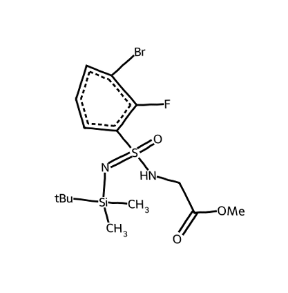 COC(=O)CNS(=O)(=N[Si](C)(C)C(C)(C)C)c1cccc(Br)c1F